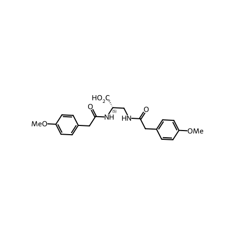 COc1ccc(CC(=O)NC[C@H](NC(=O)Cc2ccc(OC)cc2)C(=O)O)cc1